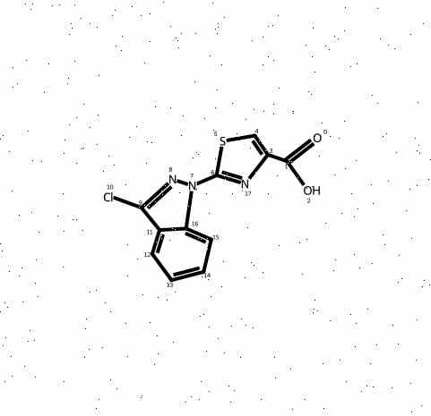 O=C(O)c1csc(-n2nc(Cl)c3ccccc32)n1